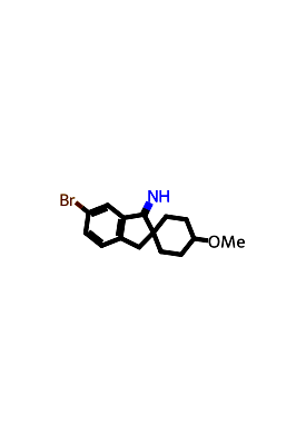 COC1CCC2(CC1)Cc1ccc(Br)cc1C2=N